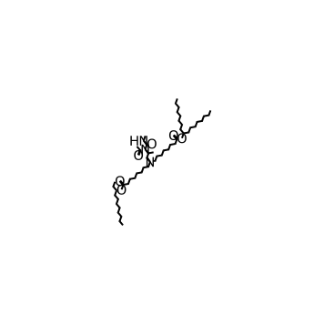 CCCCCCCCC(CC)OC(=O)CCCCCCCN(CCCCCCCC(=O)OC(CCCCCCCC)CCCCCCCC)CC(C)N(C(C)=O)C(=O)NC